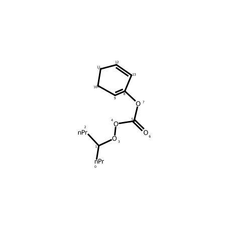 CCCC(CCC)OOC(=O)OC1=C[C][CH]C=C1